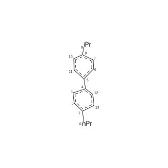 C[CH]Cc1ccc(-c2ccc(C(C)C)cc2)cc1